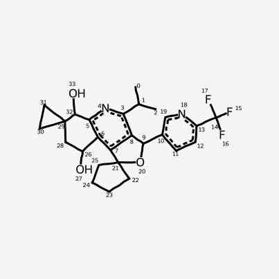 CC(C)c1nc2c(c3c1C(c1ccc(C(F)(F)F)nc1)OC31CCCC1)C(O)CC1(CC1)C2O